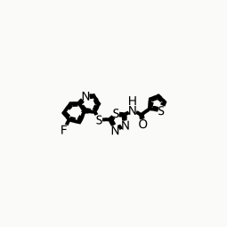 O=C(Nc1nnc(Sc2ccnc3ccc(F)cc23)s1)c1cccs1